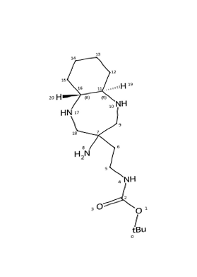 CC(C)(C)OC(=O)NCCC1(N)CN[C@@H]2CCCC[C@H]2NC1